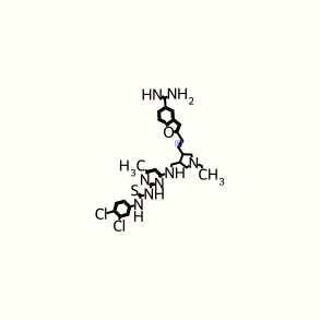 CCN1CC(/C=C/c2cc3cc(C(=N)N)ccc3o2)C(CNc2cc(C)nc(NC(=S)Nc3ccc(Cl)c(Cl)c3)n2)C1